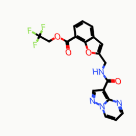 O=C(OCC(F)(F)F)c1cccc2cc(CNC(=O)c3cnn4cccnc34)oc12